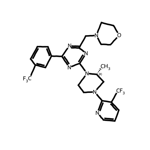 C[C@@H]1CN(c2ncccc2C(F)(F)F)CCN1c1nc(CN2CCOCC2)nc(-c2cccc(C(F)(F)F)c2)n1